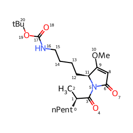 CCCCC[C@@H](C)C(=O)N1C(=O)C=C(OC)[C@@H]1CCCCNC(=O)OC(C)(C)C